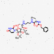 CC(C)C[C@H](NC(=O)OCc1ccccc1)C(=O)NCCCN[C@@H](CO)C(O)[C@H]1O[C@@H](n2ccc(=O)[nH]c2=O)[C@H](O[Si](C)(C)C(C)(C)C)[C@@H]1O[Si](C)(C)C(C)(C)C